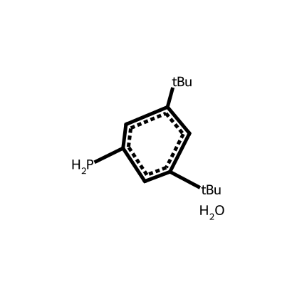 CC(C)(C)c1cc(P)cc(C(C)(C)C)c1.O